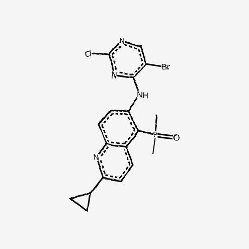 CP(C)(=O)c1c(Nc2nc(Cl)ncc2Br)ccc2nc(C3CC3)ccc12